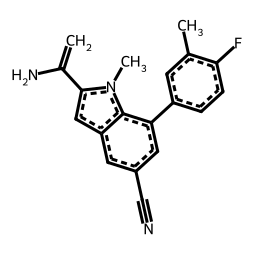 C=C(N)c1cc2cc(C#N)cc(-c3ccc(F)c(C)c3)c2n1C